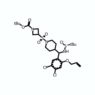 C=CCOc1cc(Cl)c(Cl)cc1C(N[S+]([O-])C(C)(C)C)C1CCN(S(=O)(=O)C2CN(C(=O)OC(C)(C)C)C2)CC1